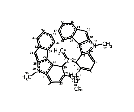 [CH2]=[Zr+2]([CH]1C(C)=CC=c2c1c1c(n2C)=Cc2ccccc2-1)[CH]1C(C)=CC=c2c1c1c(n2C)=Cc2ccccc2-1.[Cl-].[Cl-]